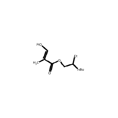 CCCCC(CC)COC(=O)C(C)=CO